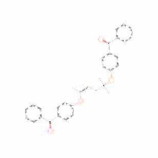 C/C(=C/CC(C)(C)Oc1ccc(C(=O)c2ccccc2)cc1)Oc1ccc(C(=O)c2ccccc2)cc1